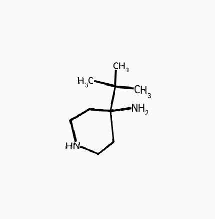 CC(C)(C)C1(N)CCNCC1